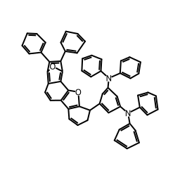 C1=Cc2c(oc3c2ccc2c4oc(c(-c5ccccc5)c4-c4ccccc4)c23)C(c2cc(N(c3ccccc3)c3ccccc3)cc(N(c3ccccc3)c3ccccc3)c2)C1